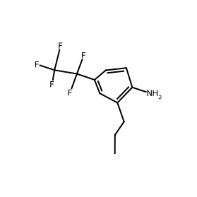 CCCc1cc(C(F)(F)C(F)(F)F)ccc1N